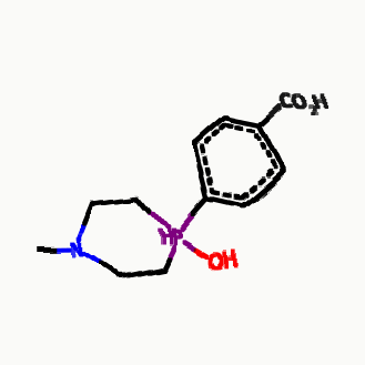 CN1CC[PH](O)(c2ccc(C(=O)O)cc2)CC1